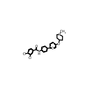 CN1CCC(Oc2ccc(-c3ccc(NC(=O)c4ccc(Cl)c(Cl)c4)cc3)cc2)CC1